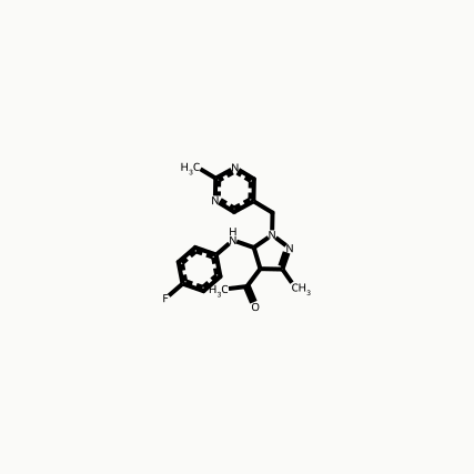 CC(=O)C1C(C)=NN(Cc2cnc(C)nc2)C1Nc1ccc(F)cc1